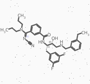 CCCN(CCC)/C(=N/C#N)c1cccc(C(=O)N[C@@H](Cc2cc(F)cc(F)c2)[C@H](O)CNCc2cccc(CC)c2)c1